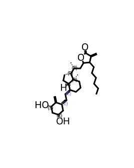 C=C1C(=O)OC(C[C@@H](C)[C@H]2CC[C@H]3/C(=C/C=C4/C[C@@H](O)C[C@H](O)C4=C)CCC[C@]23C)C1CCCCCC